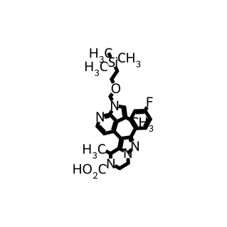 Cc1cn(COCC[Si](C)(C)C)c2nccc(-c3c(-c4ccc(F)cc4)nn4c3C(C)N(C(=O)O)CC4)c12